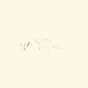 COc1cc(Cl)cc(-c2cc(OC)c(-n3c4c(ccc3=O)CN(S(=O)(=O)Nc3ccon3)CC4)cc2F)c1